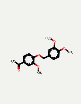 COc1ccc(COc2ccc(C(C)=O)cc2OC)cc1OC